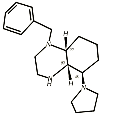 c1ccc(CN2CCN[C@H]3[C@H](N4CCCC4)CCC[C@H]32)cc1